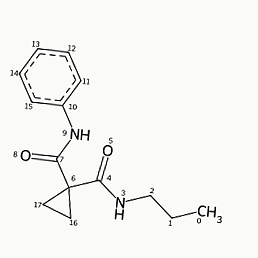 CCCNC(=O)C1(C(=O)Nc2ccccc2)CC1